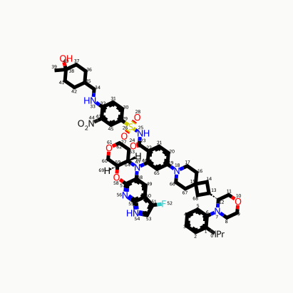 CC(C)c1ccccc1N1CCOC[C@H]1C1CC2(CCN(c3ccc(C(=O)NS(=O)(=O)c4ccc(NCC5CCC(C)(O)CC5)c([N+](=O)[O-])c4)c(N4c5cc6c(F)c[nH]c6nc5O[C@H]5COCC[C@@H]54)c3)CC2)C1